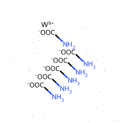 NC(=O)[O-].NC(=O)[O-].NC(=O)[O-].NC(=O)[O-].NC(=O)[O-].NC(=O)[O-].[W+6]